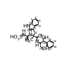 CC(Cc1c[nH]c2ccccc12)(NC(=O)NS(=O)(=O)O)C(=O)NC(CO)C(O)c1ccccc1